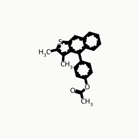 CC(=O)Oc1ccc(-c2c3ccccc3cc3sc(C)c(C)c23)cc1